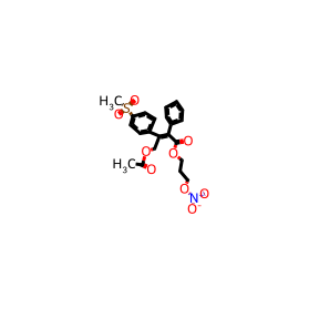 CC(=O)OC/C(=C(\C(=O)OCCCO[N+](=O)[O-])c1ccccc1)c1ccc(S(C)(=O)=O)cc1